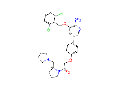 Nc1ncc(-c2ccc(OCC(=O)N3CCC[C@H]3CN3CCCC3)cc2)cc1OCc1c(Cl)cccc1Cl